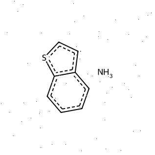 N.[c]1csc2ccccc12